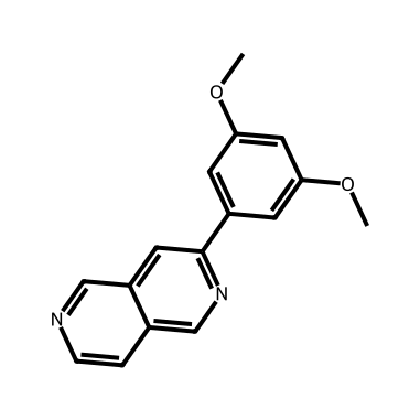 COc1cc(OC)cc(-c2cc3cnccc3cn2)c1